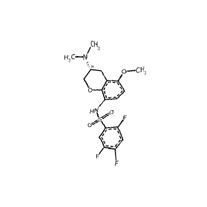 COc1ccc(NS(=O)(=O)c2cc(F)c(F)cc2F)c2c1C[C@@H](N(C)C)CO2